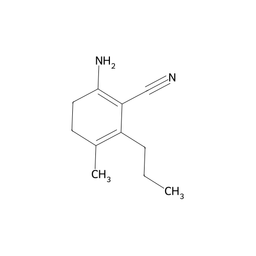 CCCC1=C(C)CCC(N)=C1C#N